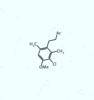 COc1cc(C)c(CCC(C)=O)c(C)c1Cl